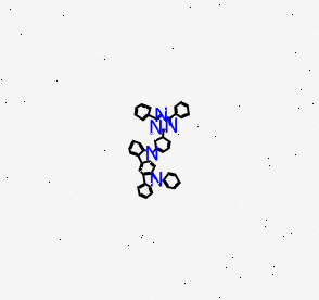 C1=CC(c2nc(-c3ccccc3)nc(-c3ccccc3)n2)CC(n2c3ccccc3c3cc4c5ccccc5n(-c5ccccc5)c4cc32)=C1